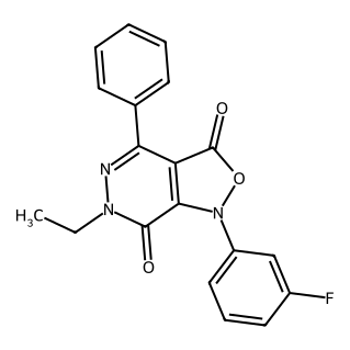 CCn1nc(-c2ccccc2)c2c(=O)on(-c3cccc(F)c3)c2c1=O